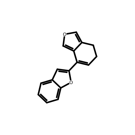 C1=C(c2cc3ccccc3o2)c2cocc2CC1